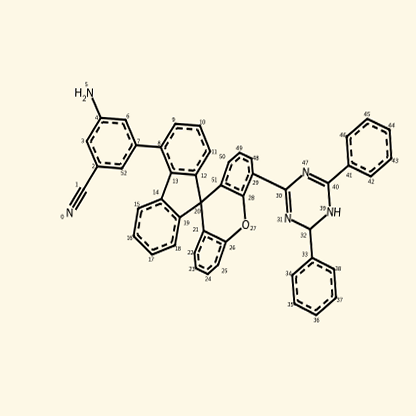 N#Cc1cc(N)cc(-c2cccc3c2-c2ccccc2C32c3ccccc3Oc3c(C4=NC(c5ccccc5)NC(c5ccccc5)=N4)cccc32)c1